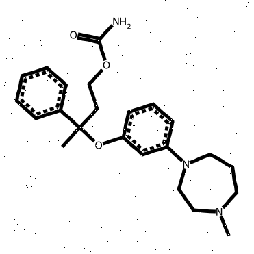 CN1CCCN(c2cccc(OC(C)(CCOC(N)=O)c3ccccc3)c2)CC1